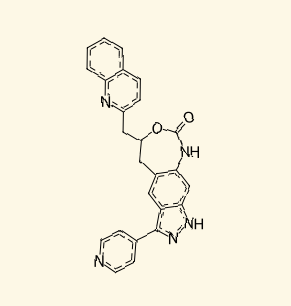 O=C1Nc2cc3[nH]nc(-c4ccncc4)c3cc2CC(Cc2ccc3ccccc3n2)O1